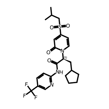 CC(C)CS(=O)(=O)c1ccn([C@@H](CC2CCCC2)C(=O)Nc2ccc(C(F)(F)F)cn2)c(=O)c1